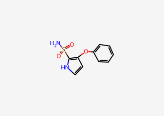 NS(=O)(=O)c1[nH]ccc1Oc1ccccc1